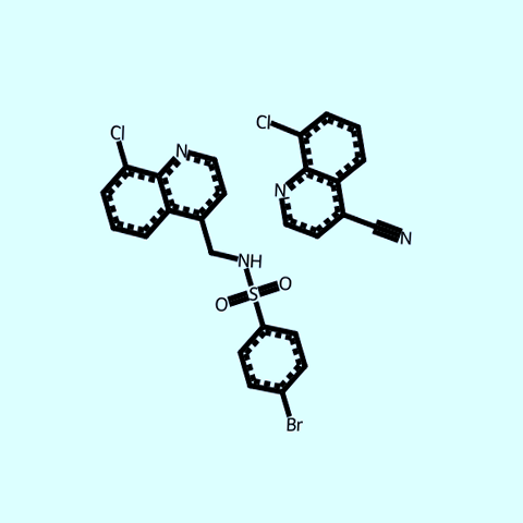 N#Cc1ccnc2c(Cl)cccc12.O=S(=O)(NCc1ccnc2c(Cl)cccc12)c1ccc(Br)cc1